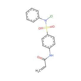 C=CC(=O)Nc1ccc(S(=O)(=O)N(Cl)c2ccccc2)cc1